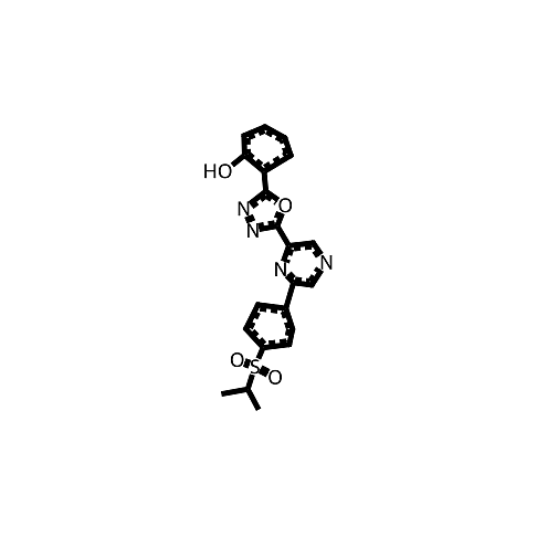 CC(C)S(=O)(=O)c1ccc(-c2cncc(-c3nnc(-c4ccccc4O)o3)n2)cc1